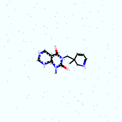 Cn1c(=O)n(CC2(C)C=CC=NC2)c(=O)c2cncnc21